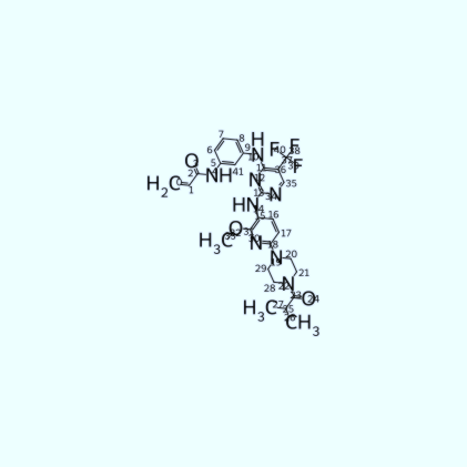 C=CC(=O)Nc1cccc(Nc2nc(Nc3ccc(N4CCN(C(=O)C(C)C)CC4)nc3OC)ncc2C(F)(F)F)c1